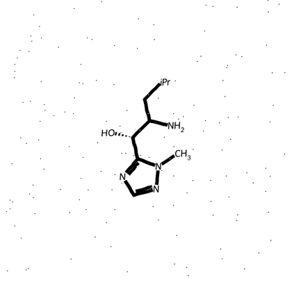 CC(C)CC(N)[C@@H](O)c1ncnn1C